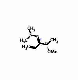 C=C/C(=N\N(C)C)[C@H](C)OC